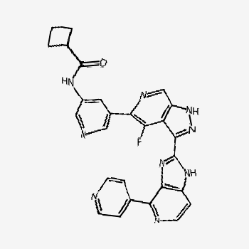 O=C(Nc1cncc(-c2ncc3[nH]nc(-c4nc5c(-c6ccncc6)nccc5[nH]4)c3c2F)c1)C1CCC1